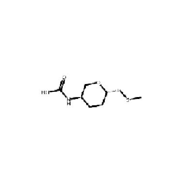 CSC[C@@H]1CC[C@@H](NC(=O)O)CO1